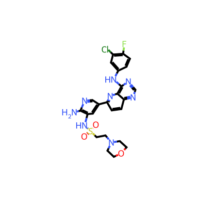 Nc1ncc(-c2ccc3ncnc(Nc4ccc(F)c(Cl)c4)c3n2)cc1NS(=O)(=O)CCN1CCOCC1